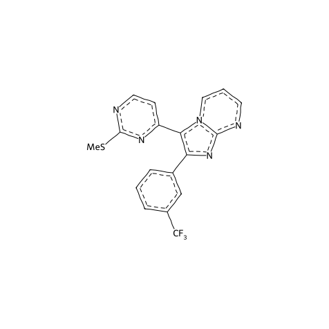 CSc1nccc(-c2c(-c3cccc(C(F)(F)F)c3)nc3ncccn23)n1